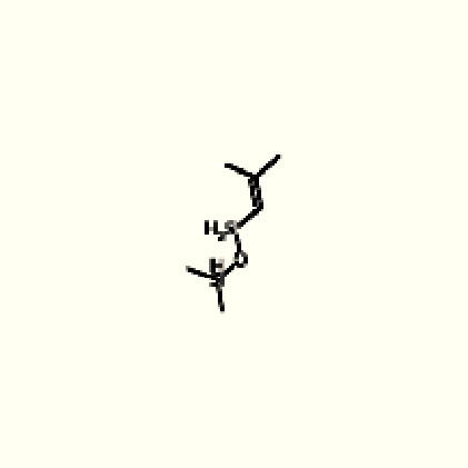 CC(C)=C[SiH2]O[SiH](C)C